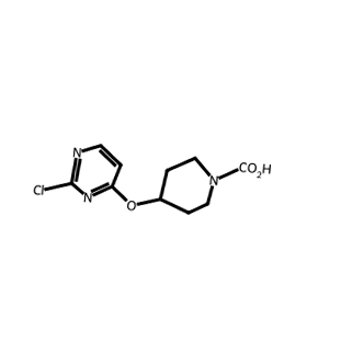 O=C(O)N1CCC(Oc2ccnc(Cl)n2)CC1